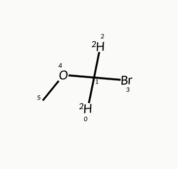 [2H]C([2H])(Br)OC